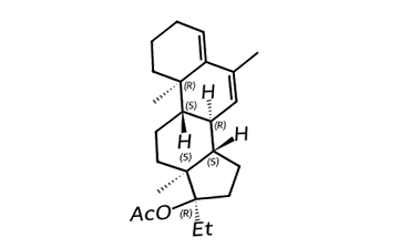 CC[C@@]1(OC(C)=O)CC[C@H]2[C@@H]3C=C(C)C4=CCCC[C@]4(C)[C@H]3CC[C@@]21C